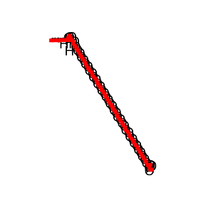 CCCCCCCCCCCCCC(=O)N[C@@H](CCC(=O)NCCOCCOCCOCCOCCOCCOCCOCCOCCOCCOCCOCCOCCOCCOCCOCCOCCOCCOCCOCCOCCOCCOCCOCCOCCOCCOCCOCCOCCOCCOCCOCCOCCOCCOCCOCCOCCC(=O)ON1C(=O)CCC1=O)C(=O)OC(C)(C)C